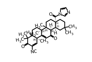 [C-]#[N+]C1=C[C@]2(C)C3=CC(=O)[C@@H]4[C@@H]5CC(C)(C)CC[C@]5(C(=O)n5ccnc5)CC[C@@]4(C)[C@]3(C)CC[C@H]2C(C)(C)C1=O